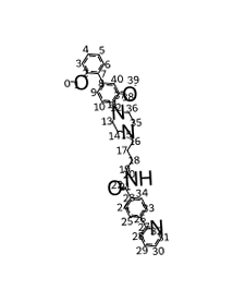 COc1ccccc1-c1ccc(N2CCN(CCCCNC(=O)c3ccc(-c4ccccn4)cc3)CC2)c(OC)c1